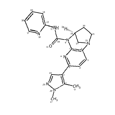 Cc1c(-c2ccc3c(n2)N(C(=O)Nc2ccccn2)[C@H]2CCN3C2)cnn1C